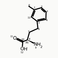 Cc1cccc(CC[C@@H](N)C(=O)O)c1